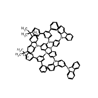 CC(C)(C)c1ccc2c(c1)c1cc(C(C)(C)C)ccc1n2-c1cc2c3c(c1)N(c1cc(-c4ccccc4)cc(-c4ccccc4)c1)c1cc(-n4c5ccccc5c5cc(-n6c7ccccc7c7ccccc76)ccc54)ccc1B3c1ccc(-n3c4ccccc4c4ccccc43)cc1N2c1cc(-c2ccccc2)cc(-c2ccccc2)c1